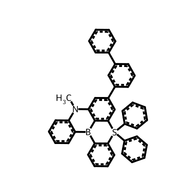 CN1c2ccccc2B2c3ccccc3S(c3ccccc3)(c3ccccc3)c3cc(-c4cccc(-c5ccccc5)c4)cc1c32